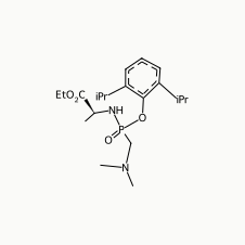 CCOC(=O)[C@H](C)NP(=O)(CN(C)C)Oc1c(C(C)C)cccc1C(C)C